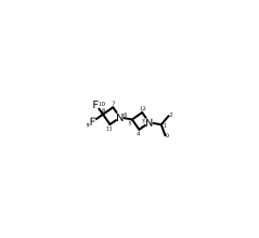 CC(C)N1CC(N2CC(F)(F)C2)C1